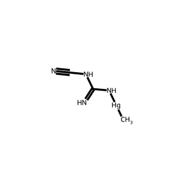 [CH3][Hg][NH]C(=N)NC#N